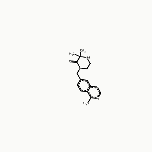 CC1(C)NCCN(Cc2ccc3c(N)ncnc3c2)C1=O